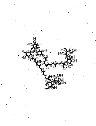 C=CC(C)(CC/C=C(\C)CC/C=C(\C)CC(O)/C=C(\C)C(=O)OC1C(OCC2OC(OC3C(O)C(C)OC(OC/C(C)=C\CC/C(C)=C/CC/C(C)=C/CCC(C)(C=C)OC4OC(CO)C(O)C(O)C4OC4OC(CO)C(O)C(O)C4O)C3O)C(O)C(O)C2O)OC(C)C(O)C1O)OC1OC(CC)C(O)C(O)C1OC1OC(CO)C(O)C(O)C1O